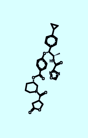 C[C@H](NC(=O)c1ncon1)[C@H](Oc1ccc(C(=O)O[C@H]2CCCN(C(=O)[C@H]3COC(=O)C3)C2)cc1)c1ccc(C2CC2)cc1